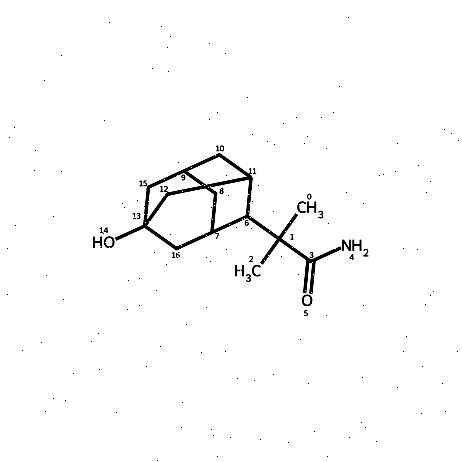 CC(C)(C(N)=O)C1C2CC3CC1CC(O)(C3)C2